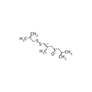 C=C(C)CSS/C=C(\C)C[S+]([O-])CC(=C)C